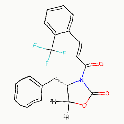 [2H]C1([2H])OC(=O)N(C(=O)/C=C/c2ccccc2C(F)(F)F)[C@H]1Cc1ccccc1